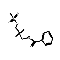 CC(C)(COC(=O)c1ccccc1)COS(C)(=O)=O